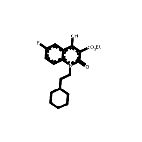 CCOC(=O)c1c(O)c2cc(F)ccc2n(CCC2CCCCC2)c1=O